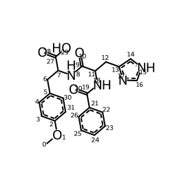 COc1ccc(CC(NC(=O)C(Cc2c[nH]cn2)NC(=O)c2ccccc2)C(=O)O)cc1